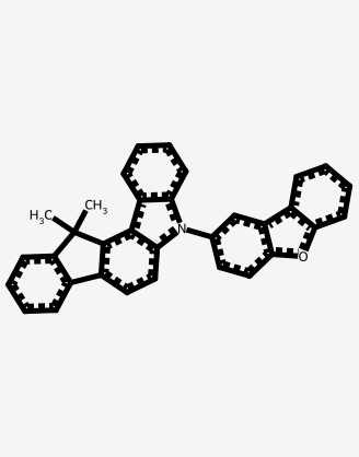 CC1(C)c2ccccc2-c2ccc3c(c21)c1ccccc1n3-c1ccc2oc3ccccc3c2c1